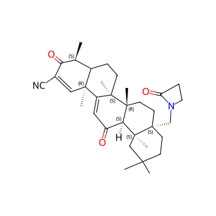 C[C@@H]1C(=O)C(C#N)=C[C@]2(C)C3=CC(=O)[C@@H]4[C@]5(C)CC(C)(C)CC[C@]5(CN5CCC5=O)CC[C@@]4(C)[C@]3(C)CCC12